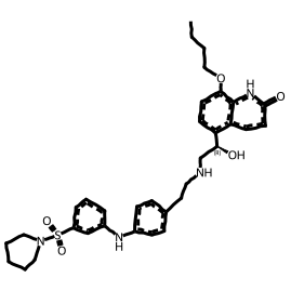 CCCCOc1ccc([C@@H](O)CNCCc2ccc(Nc3cccc(S(=O)(=O)N4CCCCC4)c3)cc2)c2ccc(=O)[nH]c12